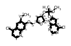 COc1cc2c(Cl)ccnc2cc1OC[C@@H]1C[C@@H](OC(C)(C)OC)[C@H](n2ccc3c(Cl)ncnc32)O1